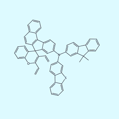 C=CC1=C(C=C)C2(c3ccccc3O1)c1cc(N(c3ccc4c(c3)C(C)(C)c3ccccc3-4)c3ccc4c(c3)sc3ccccc34)ccc1-c1c2ccc2ccccc12